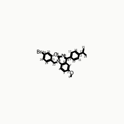 COc1ccc2c(c1)c(-c1ccc(C(C)C)cc1)nc(=O)n2Cc1ccc(Br)cc1